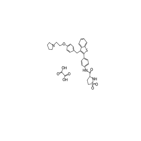 O=C(Nc1ccc(-c2sc3ccccc3c2Cc2ccc(OCCN3CCCC3)cc2)cc1)C1CCS(=O)(=O)N1.O=C(O)C(=O)O